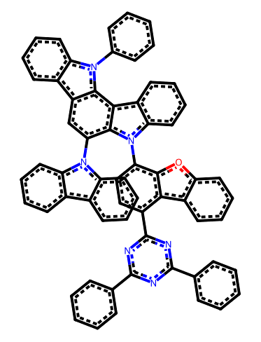 c1ccc(-c2nc(-c3ccccc3)nc(-c3ccc(-n4c5ccccc5c5c4c(-n4c6ccccc6c6ccccc64)cc4c6ccccc6n(-c6ccccc6)c45)c4oc5ccccc5c34)n2)cc1